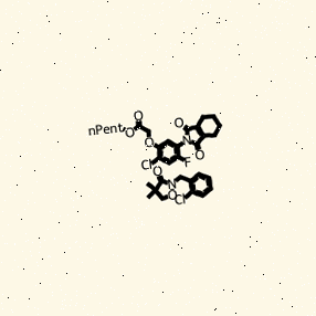 CC1(C)CON(Cc2ccccc2Cl)C1=O.CCCCCOC(=O)COc1cc(N2C(=O)C3=C(CCCC3)C2=O)c(F)cc1Cl